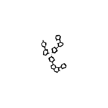 CC1C=CC(c2cccc(N(c3ccc(-c4ccc5ccc6oc7ccccc7c6c5c4)cc3)c3ccc(-c4cccc5c4sc4ccccc45)cc3)c2)=CC1